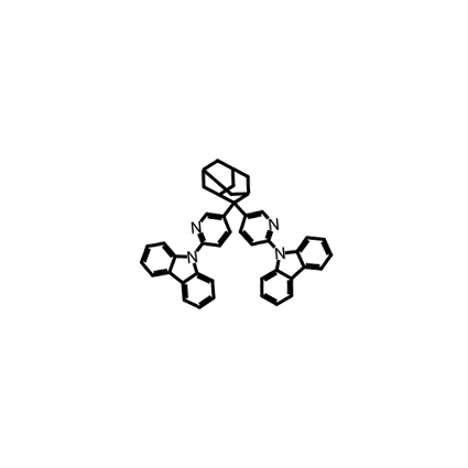 c1ccc2c(c1)c1ccccc1n2-c1ccc(C2(c3ccc(-n4c5ccccc5c5ccccc54)nc3)C3CC4CC(C3)CC2C4)cn1